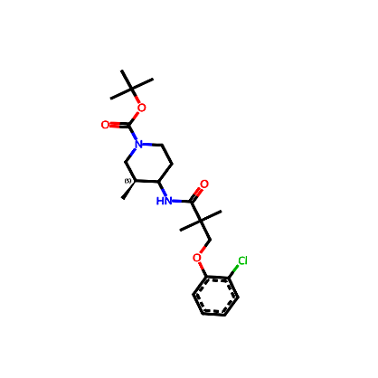 C[C@H]1CN(C(=O)OC(C)(C)C)CCC1NC(=O)C(C)(C)COc1ccccc1Cl